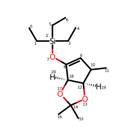 CC[Si](CC)(CC)OC1=CC(C)[C@H]2OC(C)(C)O[C@@H]12